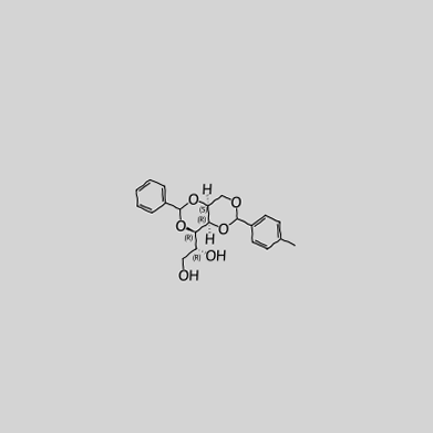 Cc1ccc(C2OC[C@@H]3OC(c4ccccc4)O[C@H]([C@H](O)CO)[C@@H]3O2)cc1